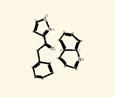 O=C(Cc1ccccc1)c1ccsn1.c1ccc2ncccc2c1